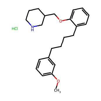 COc1cccc(CCCCc2ccccc2OCC2CCCNC2)c1.Cl